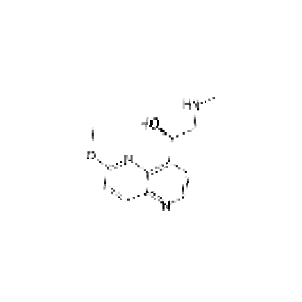 CNC[C@H](O)c1ccnc2ccc(OC)nc12